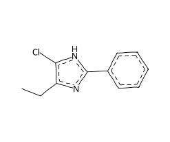 CCc1nc(-c2ccccc2)[nH]c1Cl